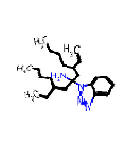 CCCCC(CC)CC(N)(CC(CC)CCCC)n1nnc2ccccc21